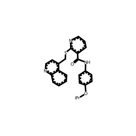 CC(C)Oc1ccc(NC(=O)c2cccnc2SCc2ccnc3ccccc23)cc1